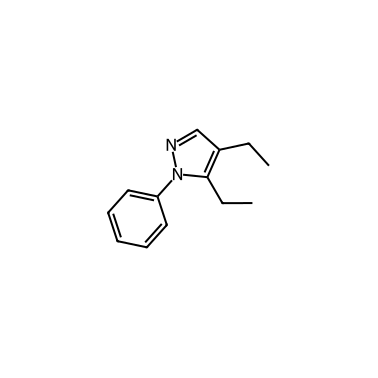 CCc1cnn(-c2ccccc2)c1CC